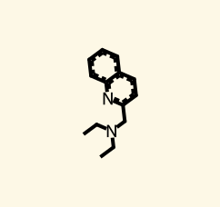 CCN(CC)Cc1ccc2ccccc2n1